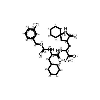 COC(=O)C(CC1CC2(CCCCC2)NC1=O)NC(=O)C(CC1CCCCC1)NC(=O)OCc1cccc(Cl)c1